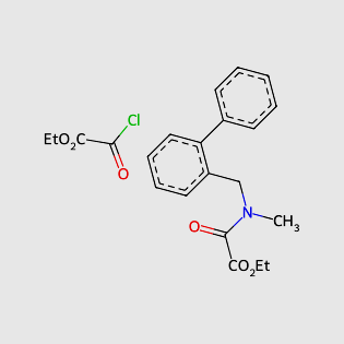 CCOC(=O)C(=O)Cl.CCOC(=O)C(=O)N(C)Cc1ccccc1-c1ccccc1